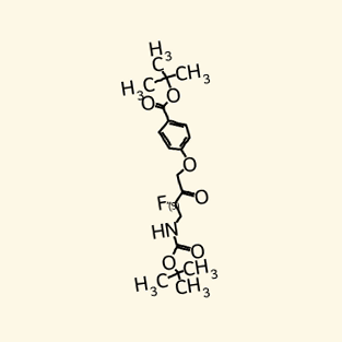 CC(C)(C)OC(=O)NC[C@H](F)C(=O)COc1ccc(C(=O)OC(C)(C)C)cc1